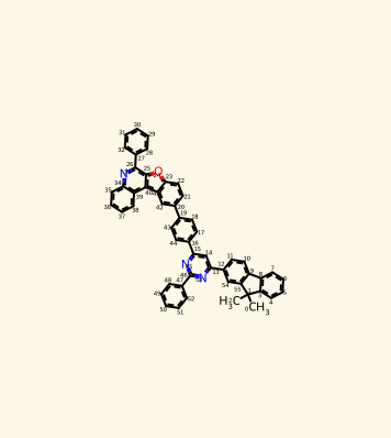 CC1(C)c2ccccc2-c2ccc(-c3cc(-c4ccc(-c5ccc6oc7c(-c8ccccc8)nc8ccccc8c7c6c5)cc4)nc(-c4ccccc4)n3)cc21